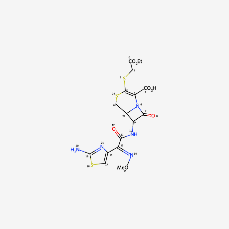 CCOC(=O)CSC1=C(C(=O)O)N2C(=O)C(NC(=O)C(=NOC)c3csc(N)n3)C2CS1